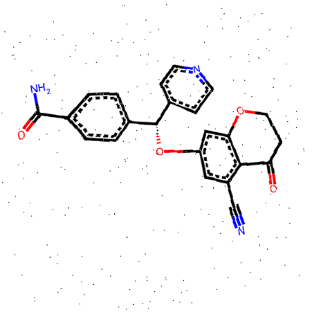 N#Cc1cc(O[C@@H](c2ccncc2)c2ccc(C(N)=O)cc2)cc2c1C(=O)CCO2